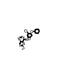 CSc1ncc2ncnc(Nc3ccc(Oc4ccccc4)c(Cl)c3)c2n1